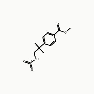 COC(=O)c1ccc(C(C)(C)CN[SH](=O)=O)cc1